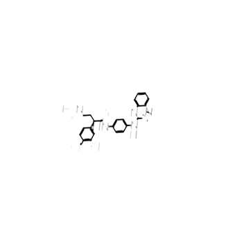 NCCC(C(=O)Nc1ccc(Nc2nnc3ccccc3n2)cc1)c1ccc(Cl)c(Cl)c1